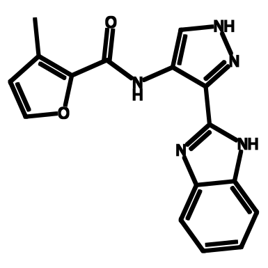 Cc1ccoc1C(=O)Nc1c[nH]nc1-c1nc2ccccc2[nH]1